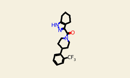 O=C(c1n[nH]c2c1CCCC2)N1CCC(c2ccccc2C(F)(F)F)CC1